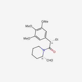 CC[C@H](C(=O)N1CCCC[C@H]1C=O)c1cc(OC)c(OC)c(OC)c1